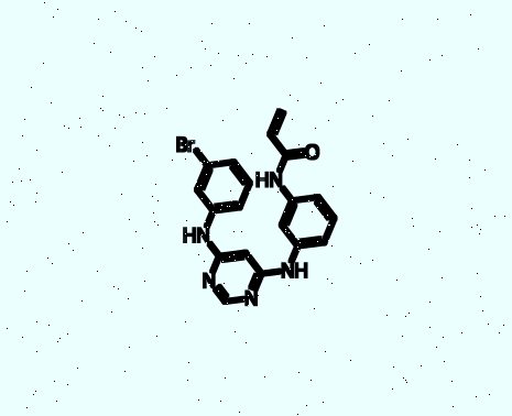 C=CC(=O)Nc1cccc(Nc2cc(Nc3cccc(Br)c3)ncn2)c1